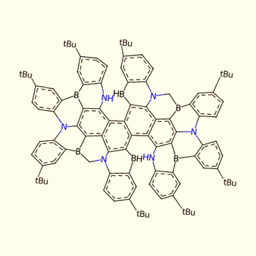 CC(C)(C)c1ccc2c(c1)Bc1c3c4c5c6c7c(c4c4c8c9c%10c%11c%12c%13c(c%10c14)Nc1ccc(C(C)(C)C)cc1B%13c1cc(C(C)(C)C)ccc1N%12c1ccc(C(C)(C)C)cc1B%11CN9c1ccc(C(C)(C)C)cc1B8)Nc1ccc(C(C)(C)C)cc1B7c1cc(C(C)(C)C)ccc1N6c1ccc(C(C)(C)C)cc1B5CN23